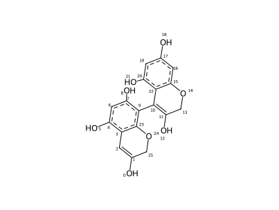 OC1=Cc2c(O)cc(O)c(C3=C(O)COc4cc(O)cc(O)c43)c2OC1